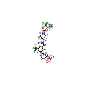 CC1(C(=O)O)CCCN(c2cc(CN3CCC4(CCN(C(=O)OC(C(F)(F)F)C(F)(F)F)CC4)C3)cc(C(F)(F)F)c2)C1